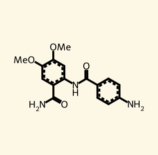 COc1cc(NC(=O)c2ccc(N)cc2)c(C(N)=O)cc1OC